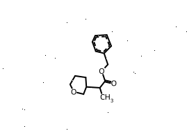 CC(C(=O)OCc1ccccc1)C1CCCOC1